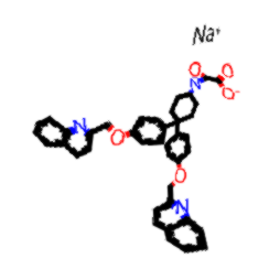 O=C([O-])C1ON1C1CCC(c2ccc(OCc3ccc4ccccc4n3)cc2)(c2ccc(OCc3ccc4ccccc4n3)cc2)CC1.[Na+]